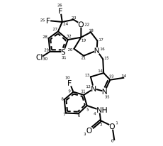 COC(=O)Nc1cccc(F)c1N1CC(CN2CCC3(CC2)OCC(F)(F)c2cc(Cl)sc23)C(C)=N1